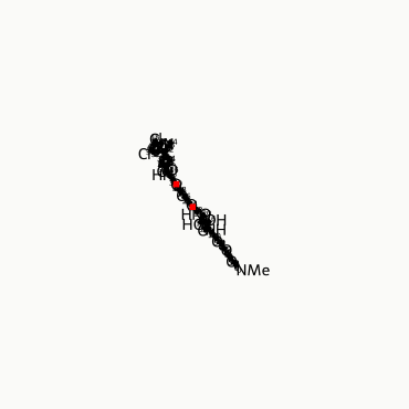 CNCCOCCOCCOCCNC(=O)C(O)C(O)C(=O)NCCOCCOCCOCCNS(=O)(=O)c1ccc(C2CN(C)Cc3c(Cl)cc(Cl)cc32)cc1